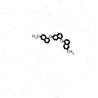 Cc1ccc2c(Oc3ccc4c(Oc5cccc6cc(C)ccc56)cccc4c3)cccc2c1